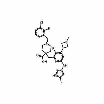 Cc1cc(Nc2cc(C3CN(C)C3)c(F)c(CC3(C(=O)O)CCN(Cc4cccc(Cl)c4F)CC3)n2)n[nH]1